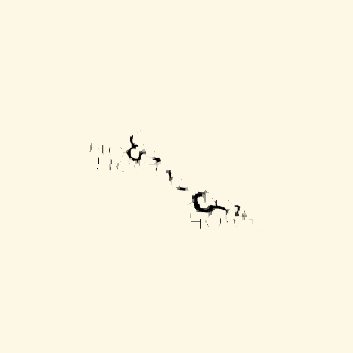 CC(=O)[C@@]1(C)CSC(c2ncc(OCCOCCOCCO[C@@H]3OC(CO)[C@@H](O)C(O)[C@@H]3O)cc2O)=N1